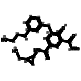 CNC(=O)c1cc(C(=O)NC2CC2CO)cn(Cc2cccc(OCCO)c2)c1=O